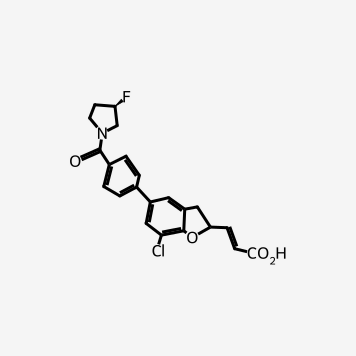 O=C(O)/C=C/C1Cc2cc(-c3ccc(C(=O)N4CC[C@@H](F)C4)cc3)cc(Cl)c2O1